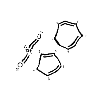 C1=CCC=C1.C1=CCC=C1.[O]=[Pt]=[O]